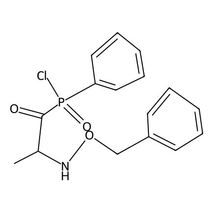 CC(NOCc1ccccc1)C(=O)P(=O)(Cl)c1ccccc1